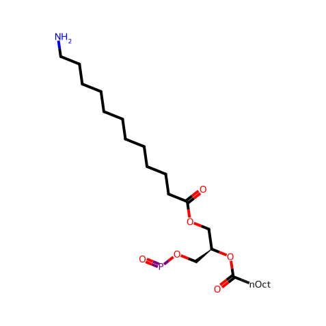 CCCCCCCCC(=O)O[C@@H](COP=O)COC(=O)CCCCCCCCCCCN